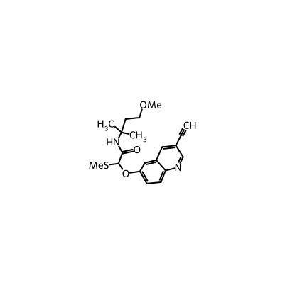 C#Cc1cnc2ccc(OC(SC)C(=O)NC(C)(C)CCOC)cc2c1